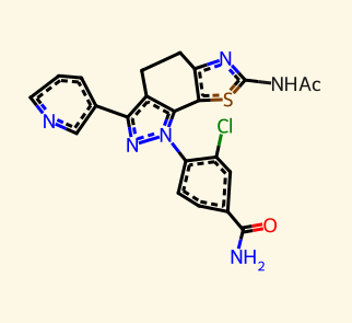 CC(=O)Nc1nc2c(s1)-c1c(c(-c3cccnc3)nn1-c1ccc(C(N)=O)cc1Cl)CC2